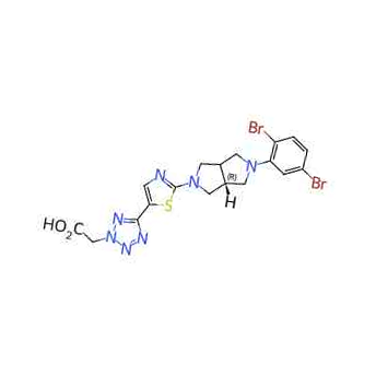 O=C(O)Cn1nnc(-c2cnc(N3CC4CN(c5cc(Br)ccc5Br)C[C@@H]4C3)s2)n1